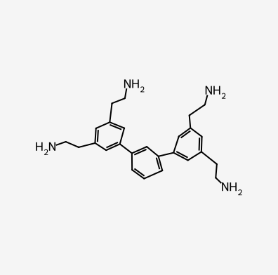 NCCc1cc(CCN)cc(-c2cccc(-c3cc(CCN)cc(CCN)c3)c2)c1